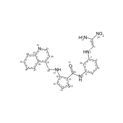 NC(=CNc1cccc(NC(=O)c2sccc2NCc2ccnc3ccccc23)c1)[N+](=O)[O-]